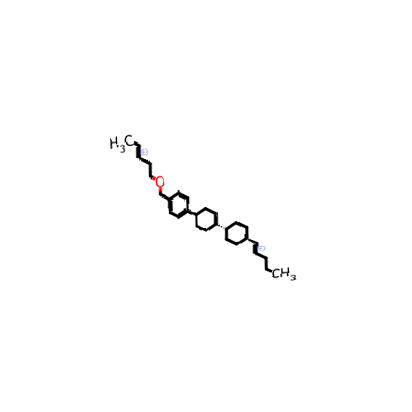 C/C=C/CCOCc1ccc(C2CCC([C@H]3CC[C@H](/C=C/CCC)CC3)CC2)cc1